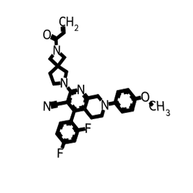 C=CC(=O)N1CC2(CCN(c3nc4c(c(-c5ccc(F)cc5F)c3C#N)CCN(c3ccc(OC)cc3)C4)C2)C1